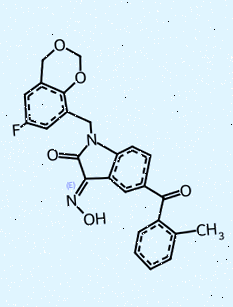 Cc1ccccc1C(=O)c1ccc2c(c1)/C(=N\O)C(=O)N2Cc1cc(F)cc2c1OCOC2